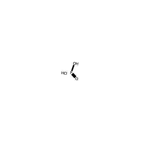 Cl.O=PO